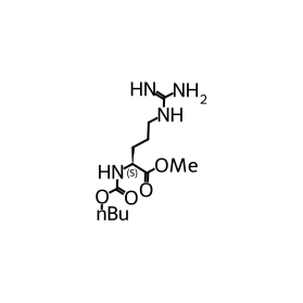 CCCCOC(=O)N[C@@H](CCCNC(=N)N)C(=O)OC